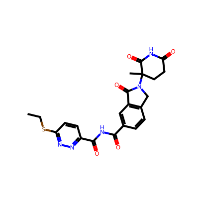 CCSc1ccc(C(=O)NC(=O)c2ccc3c(c2)C(=O)N(C2(C)CCC(=O)NC2=O)C3)nn1